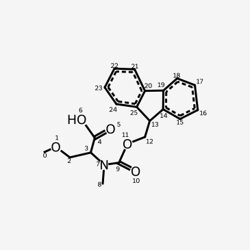 COCC(C(=O)O)N(C)C(=O)OCC1c2ccccc2-c2ccccc21